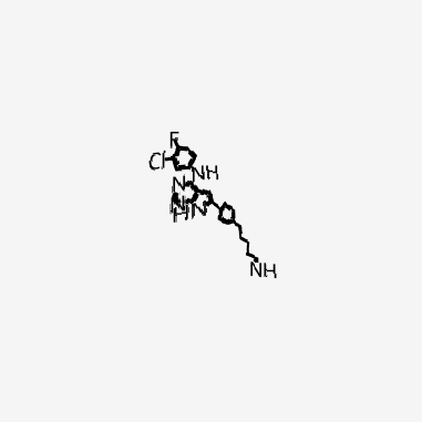 N=CCCCCc1ccc(-c2cc3c(Nc4ccc(F)c(Cl)c4)ncnc3[nH]2)cc1